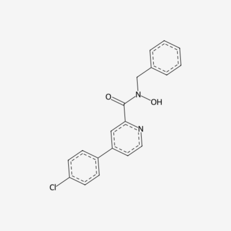 O=C(c1cc(-c2ccc(Cl)cc2)ccn1)N(O)Cc1ccccc1